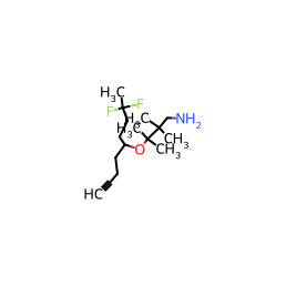 C#CCCC(CCC(C)(F)F)OC(C)(C)C(C)(C)CN